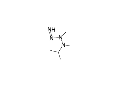 CC(C)N(C)N(C)N=N